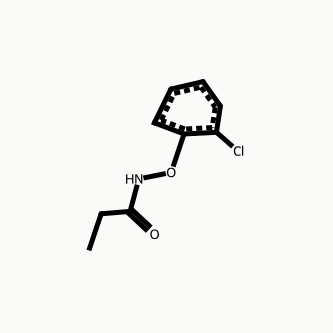 CCC(=O)NOc1ccccc1Cl